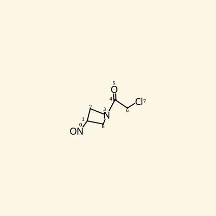 O=NC1CN(C(=O)CCl)C1